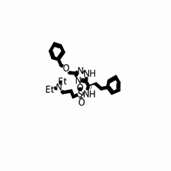 CCN(CC)CCCS(=O)(=O)N[C@H](CCc1ccccc1)c1nc(COCc2ccccc2)n[nH]1